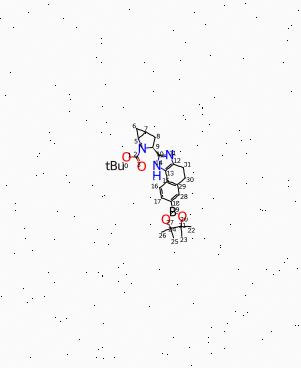 CC(C)(C)OC(=O)N1C2CC2C[C@H]1c1nc2c([nH]1)-c1ccc(B3OC(C)(C)C(C)(C)O3)cc1CC2